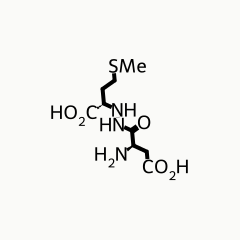 CSCC[C@H](NNC(=O)[C@H](N)CC(=O)O)C(=O)O